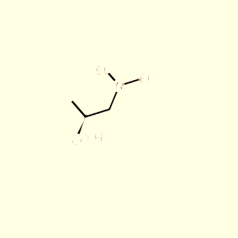 CCN(CC)C[C@H](C)C(=O)O